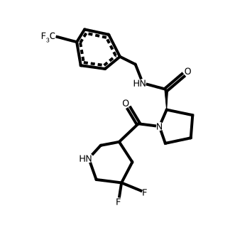 O=C(NCc1ccc(C(F)(F)F)cc1)[C@H]1CCCN1C(=O)C1CNCC(F)(F)C1